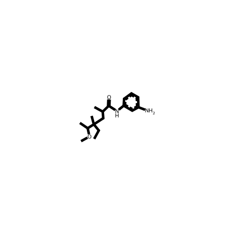 CCC(C)(CC(C)C(=O)Nc1cccc(N)c1)C(C)OC